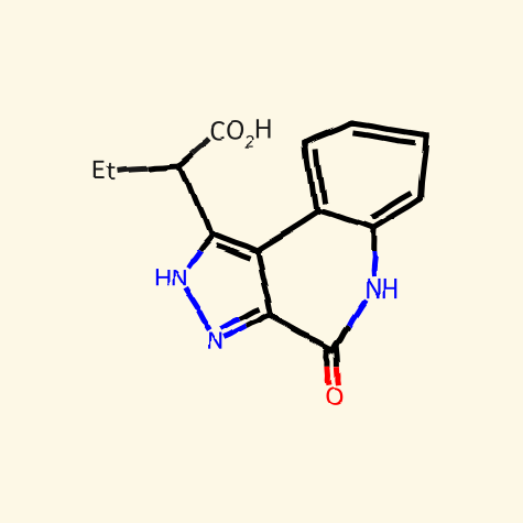 CCC(C(=O)O)c1[nH]nc2c(=O)[nH]c3ccccc3c12